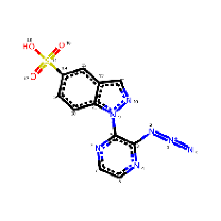 [N-]=[N+]=Nc1nccnc1-n1ncc2cc(S(=O)(=O)O)ccc21